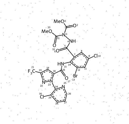 COC(=O)N(NC(=O)c1cc(Cl)cc(Br)c1NC(=O)c1cc(C(F)(F)F)nn1-c1ncccc1Cl)C(=O)OC